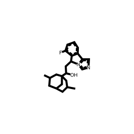 CC1CC2CC(C)CC(C(O)CC3c4c(F)cccc4-c4cncn43)(C1)C2